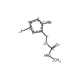 CNC(=O)OCc1cc(F)ccc1Br